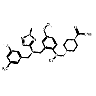 CCN(C[C@H]1CC[C@H](C(=O)OC)CC1)c1ccc(OC(F)(F)F)cc1CN(Cc1cc(C(F)(F)F)cc(C(F)(F)F)c1)c1nnn(C)n1